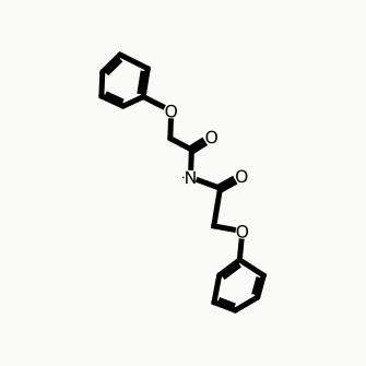 O=C(COc1ccccc1)[N]C(=O)COc1ccccc1